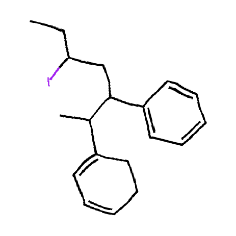 CCC(I)CC(c1ccccc1)C(C)C1=CC=CCC1